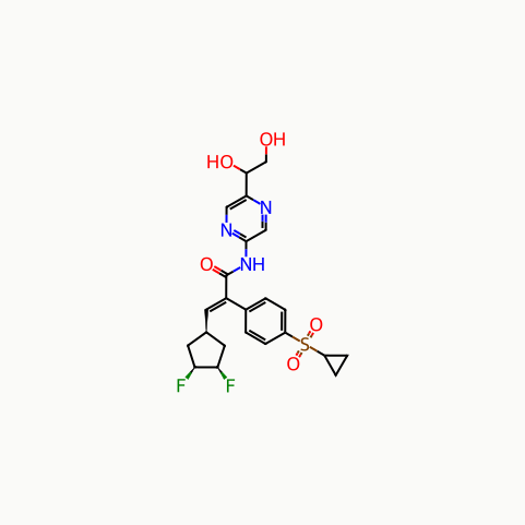 O=C(Nc1cnc(C(O)CO)cn1)/C(=C/[C@H]1C[C@@H](F)[C@@H](F)C1)c1ccc(S(=O)(=O)C2CC2)cc1